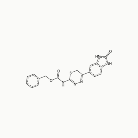 O=C(NC1=NN=C(c2ccc3[nH]c(=O)[nH]c3c2)CS1)OCc1ccccc1